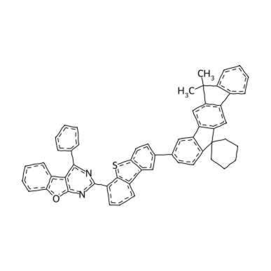 CC1(C)c2ccccc2-c2cc3c(cc21)-c1cc(-c2ccc4sc5c(-c6nc(-c7ccccc7)c7c(n6)oc6ccccc67)cccc5c4c2)ccc1C31CCCCC1